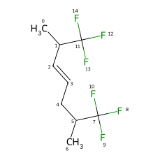 CC(C=CCC(C)C(F)(F)F)C(F)(F)F